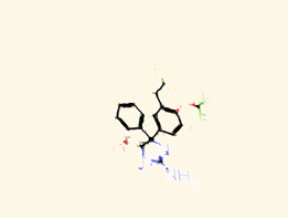 CN1C(N)=NC(c2ccccc2)(c2ccc(OC(F)F)c(CCF)c2)[C@H]1C=O